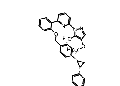 O=C(O)Oc1cnn(-c2cccc(-c3ccccc3OCc3ccc([C@H]4C[C@@H]4c4ccccc4)cc3)n2)c1C(F)(F)F